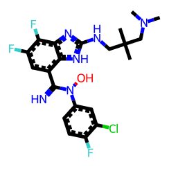 CN(C)CC(C)(C)CNc1nc2c(F)c(F)cc(C(=N)N(O)c3ccc(F)c(Cl)c3)c2[nH]1